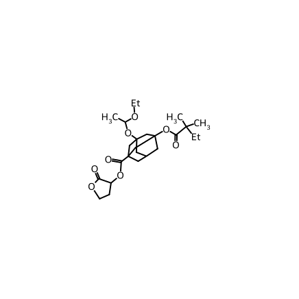 CCOC(C)OC12CC3CC(OC(=O)C(C)(C)CC)(C1)CC(C(=O)OC1CCOC1=O)(C3)C2